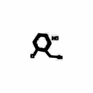 Cl.Clc1ccccc1[CH2][Zn]